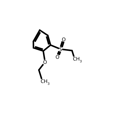 CCOc1ccccc1S(=O)(=O)CC